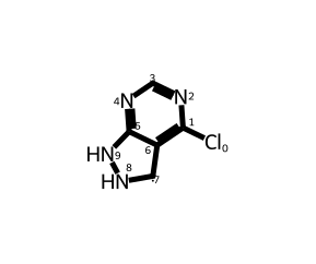 Clc1ncnc2c1[CH]NN2